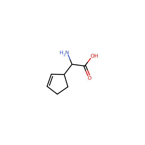 NC(C(=O)O)C1C=CCC1